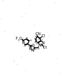 CCc1nc2c(Cl)c(C#N)ccc2n1Cc1nnc(-c2ccc(C(F)(F)F)nc2)o1